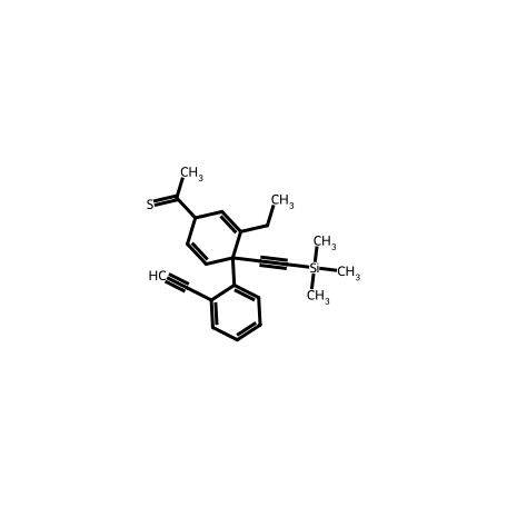 C#Cc1ccccc1C1(C#C[Si](C)(C)C)C=CC(C(C)=S)C=C1CC